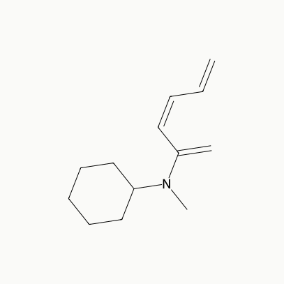 C=C/C=C\C(=C)N(C)C1CCCCC1